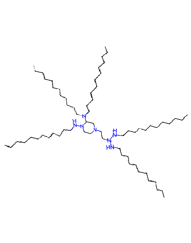 CCCCCCCCCCCCNN(CCN1CCN(NCCCCCCCCCCCC)C(N(CCCCCCCCCCCC)CCCCCCCCCCCC)C1)NCCCCCCCCCCCC